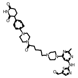 Cc1nc(Nc2ncc(C=O)s2)cc(N2CCN(CCCCC(=O)N3CCN(c4ccc(C5CCC(=O)NC5=O)cc4)CC3)CC2)n1